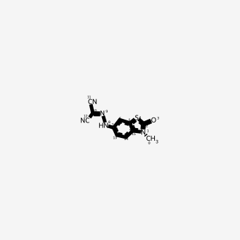 Cn1c(=O)sc2cc(NN=C(C#N)C#N)ccc21